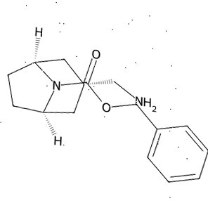 NC[C@@H]1C[C@H]2CC[C@@H](C1)N2C(=O)OCc1ccccc1